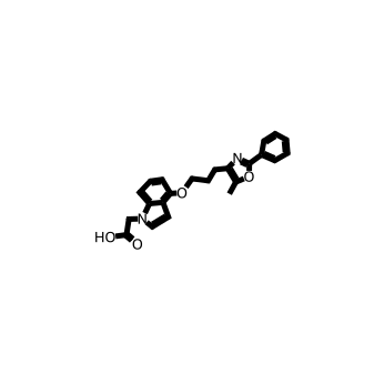 Cc1oc(-c2ccccc2)nc1CCCOc1cccc2c1ccn2CC(=O)O